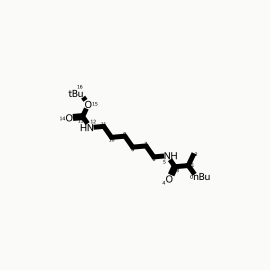 CCCCC(C)C(=O)NCCCCCCNC(=O)OC(C)(C)C